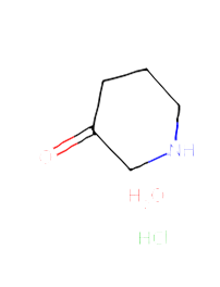 Cl.O.O=C1CCCNC1